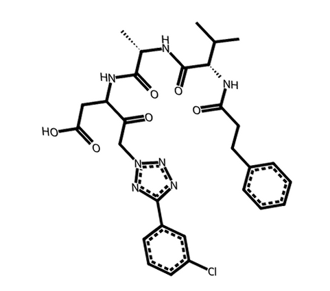 CC(C)[C@H](NC(=O)CCc1ccccc1)C(=O)N[C@@H](C)C(=O)NC(CC(=O)O)C(=O)Cn1nnc(-c2cccc(Cl)c2)n1